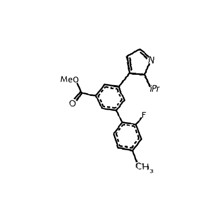 COC(=O)c1cc(C2=CC=NC2C(C)C)cc(-c2ccc(C)cc2F)c1